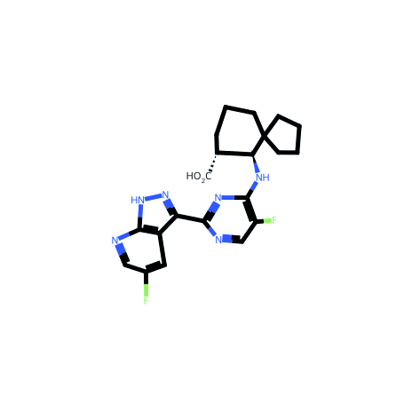 O=C(O)[C@@H]1CCCC2(CCCC2)[C@H]1Nc1nc(-c2n[nH]c3ncc(F)cc23)ncc1F